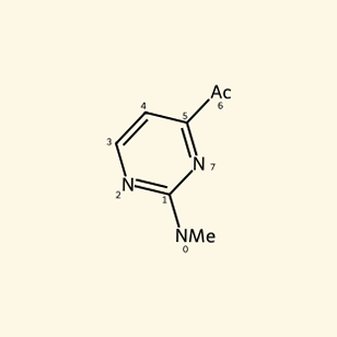 CNc1nccc(C(C)=O)n1